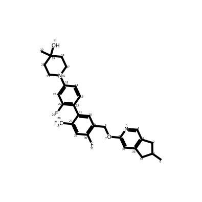 CC1Cc2cnc(OCc3cc(-c4ccc(N5CCC(C)(O)CC5)cc4F)c(C(F)(F)F)cc3F)cc2C1